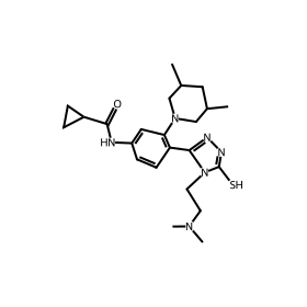 CC1CC(C)CN(c2cc(NC(=O)C3CC3)ccc2-c2nnc(S)n2CCN(C)C)C1